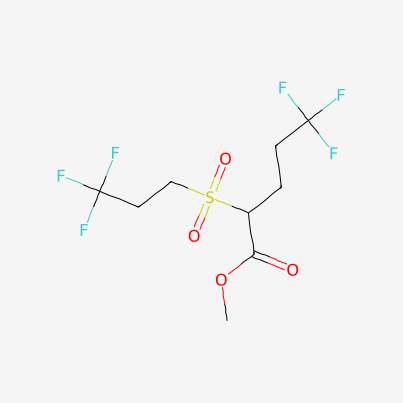 COC(=O)C(CCC(F)(F)F)S(=O)(=O)CCC(F)(F)F